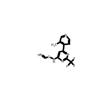 Cc1cnccc1-c1cc(BOC=N)nc(C(F)(F)F)n1